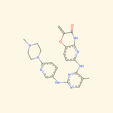 C=C1Oc2ccc(Nc3nc(Nc4ccc(N5CCN(C)CC5)nc4)ncc3C)nc2NC1=O